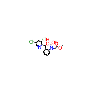 COC(=O)CN(CO)c1ccccc1C(O)c1ncc(Cl)cc1Cl